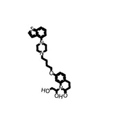 O=C1CCc2ccc(OCCCCN3CCN(c4cccc5sccc45)CC3)cc2N1C(O)CO